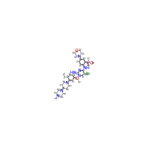 CCc1cc(Nc2ncc(Br)c(Nc3ccc(N4CCOCC4)cc3P(C)(C)=O)n2)c(OC)cc1N1CCC(N2CCN(C)CC2)CC1